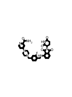 NC(=O)c1cc(N2CCN(Cc3ccc(CNc4cccc5c4C(=O)N(C4CCC(=O)NC4=O)C5=O)c(F)c3)CC2)ccn1